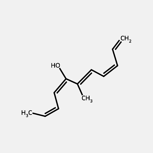 C=C\C=C/C=C(C)/C(O)=C\C=C/C